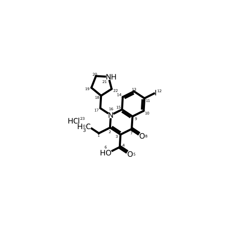 CCc1c(C(=O)O)c(=O)c2cc(I)ccc2n1CC1CCNC1.Cl